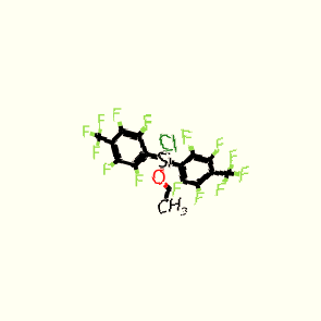 CCO[Si](Cl)(c1c(F)c(F)c(C(F)(F)F)c(F)c1F)c1c(F)c(F)c(C(F)(F)F)c(F)c1F